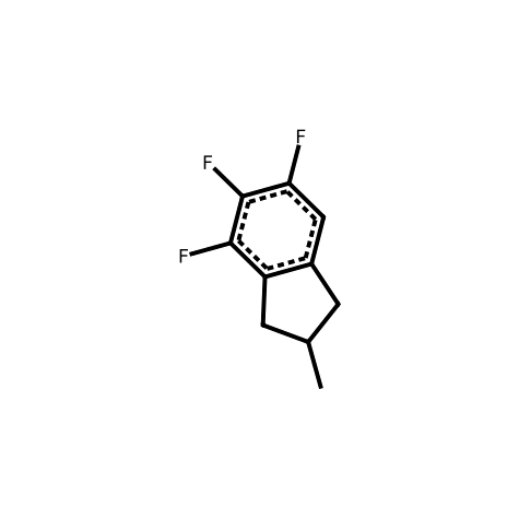 CC1Cc2cc(F)c(F)c(F)c2C1